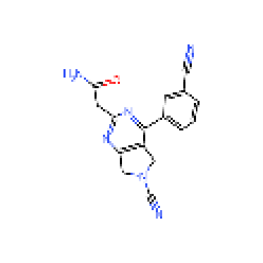 N#Cc1cccc(-c2nc(CC(N)=O)nc3c2CN(C#N)C3)c1